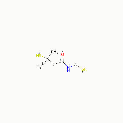 CC(C)(S)CC(=O)NCS